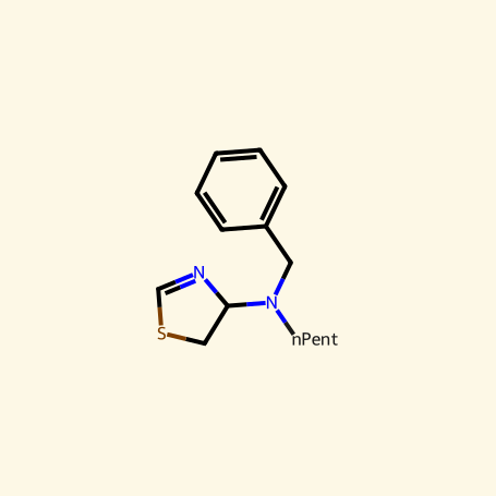 CCCCCN(Cc1ccccc1)C1CSC=N1